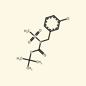 CC(C)(C)OC(=O)N(Cc1cccc(Cl)c1)S(C)(=O)=O